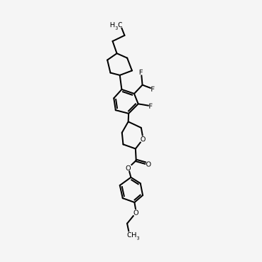 CCCC1CCC(c2ccc(C3CCC(C(=O)Oc4ccc(OCC)cc4)OC3)c(F)c2C(F)F)CC1